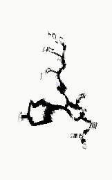 CC(C)c1nc(N[SH](=O)=O)nc(-c2ccc(F)cc2)c1/C=C/[C@@H](O)C[C@@H](O)CC(=O)O